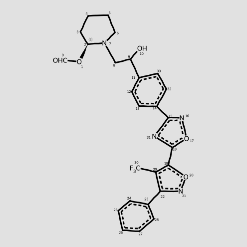 O=CO[C@H]1CCCCN1CC(O)c1ccc(-c2noc(-c3onc(-c4ccccc4)c3C(F)(F)F)n2)cc1